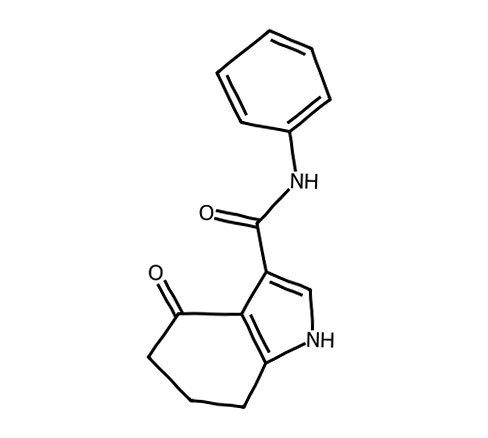 O=C(Nc1ccccc1)c1c[nH]c2c1C(=O)CCC2